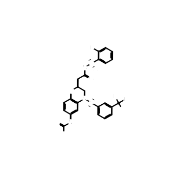 O=C(O)Nc1ccc2c(c1)N(S(=O)(=O)c1cccc(C(F)(F)F)c1)CC(CC(=O)NS(=O)(=O)c1ccccc1F)O2